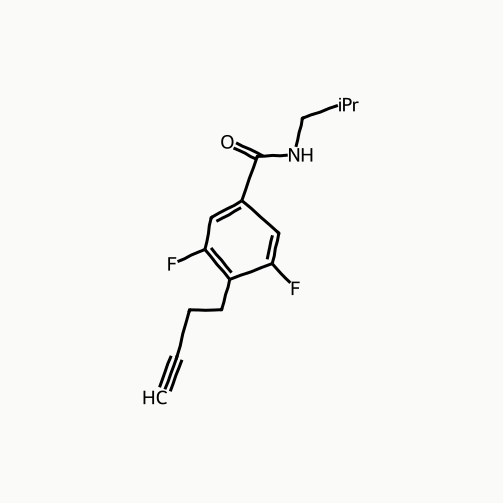 C#CCCc1c(F)cc(C(=O)NCC(C)C)cc1F